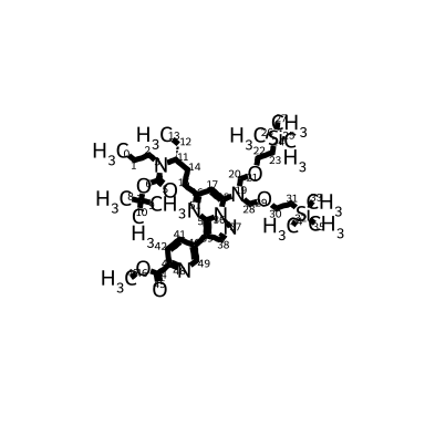 CCCN(C(=O)OC(C)(C)C)[C@H](CC)CCc1cc(N(COCC[Si](C)(C)C)COCC[Si](C)(C)C)n2ncc(-c3ccc(C(=O)OC)nc3)c2n1